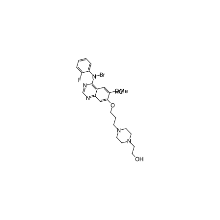 COc1cc2c(N(Br)c3ccccc3F)ncnc2cc1OCCCN1CCN(CCO)CC1.Cl